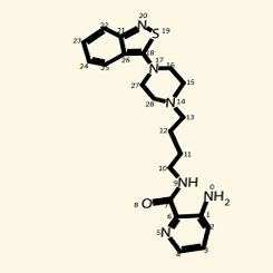 Nc1cccnc1C(=O)NCCCCN1CCN(c2snc3ccccc23)CC1